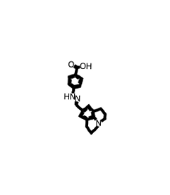 O=C(O)c1ccc(N/N=C/c2cc3c4c(c2)CCCN4CCC3)cc1